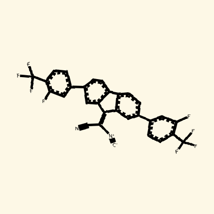 [C-]#[N+]C(C#N)=C1c2cc(-c3ccc(C(F)(F)F)c(F)c3)ccc2-c2ccc(-c3ccc(C(F)(F)F)c(F)c3)cc21